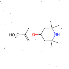 C=C(C)C(=O)O.CC1(C)CC([O])CC(C)(C)N1